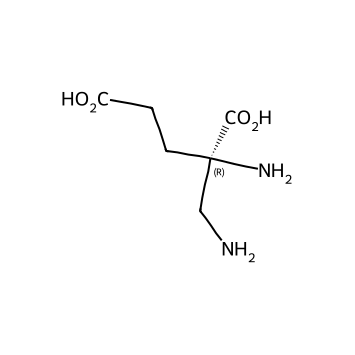 NC[C@](N)(CCC(=O)O)C(=O)O